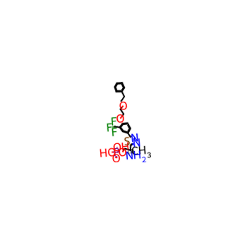 C[C@](N)(COP(=O)(O)O)c1nnc(-c2ccc(OCCOCCc3ccccc3)c(C(F)(F)F)c2)s1